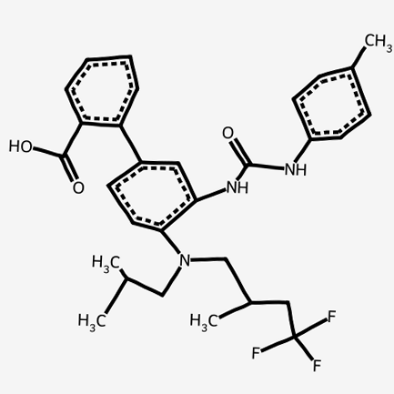 Cc1ccc(NC(=O)Nc2cc(-c3ccccc3C(=O)O)ccc2N(CC(C)C)CC(C)CC(F)(F)F)cc1